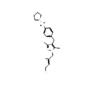 Cc1nn(C/C(F)=C/CN)c(C)c1Cc1ccc(S(=O)(=O)N2CCCC2)cc1.Cl